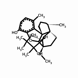 CO[C@]12CC[C@@]3(C[C@@H]1C(C)(O)C(C)(C)C)[C@@H](C)CCC[C@@]31c3c(C)ccc(O)c3O[C@@H]21